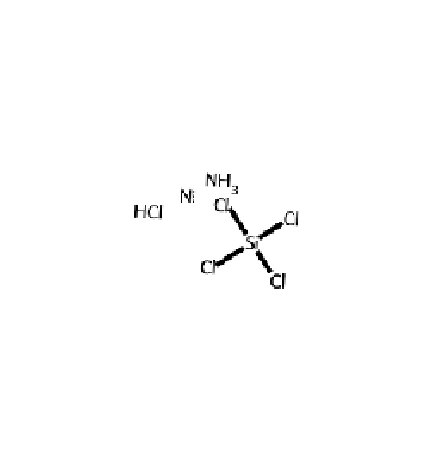 Cl.Cl[Si](Cl)(Cl)Cl.N.[N]